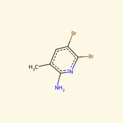 Cc1cc(Br)c(Br)nc1N